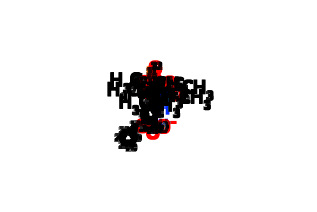 CC(C)(C)OC(=O)N[C@](C)(CCc1ccc(OCc2ccccc2)c([N+](=O)[O-])c1)C(OP=O)(OC(C)(C)C)OC(C)(C)C